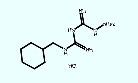 CCCCCCNC(=N)NC(=N)NCC1CCCCC1.Cl